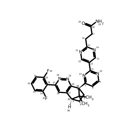 CC1(C)[C@H]2CC[C@@]1(c1ccnc(-c3cnc(CCC(N)=O)nc3)n1)c1nnc(-c3c(F)cccc3F)cc12